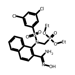 CCOP(=O)(CN(c1c(/C(N)=N/O)ccc2ccccc12)S(=O)(=O)c1cc(Cl)cc(Cl)c1)OCC